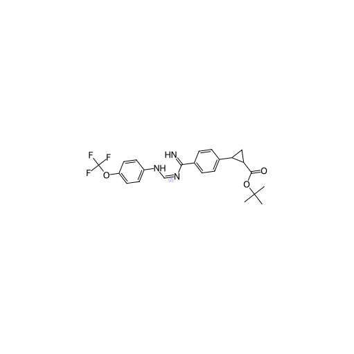 CC(C)(C)OC(=O)C1CC1c1ccc(C(=N)/N=C\Nc2ccc(OC(F)(F)F)cc2)cc1